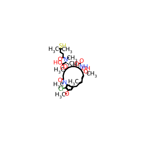 COc1cc2cc(c1Cl)N(C)C(=O)CC[C@]1(C)O[C@@]1(C[C@@H](C(=O)O)N(C)C(=O)CCC(C)(C)S)[C@H](C)[C@@H]1C[C@@](O)(NC(=O)O1)[C@H](OC)/C=C/C=C(\C)C2